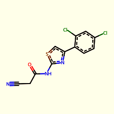 N#CCC(=O)Nc1nc(-c2ccc(Cl)cc2Cl)cs1